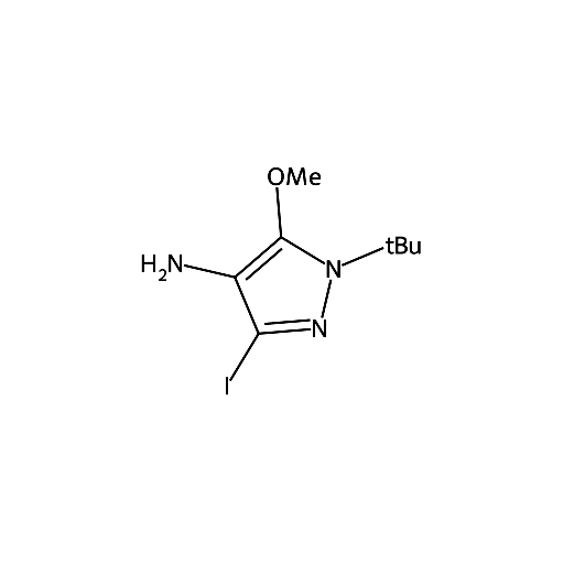 COc1c(N)c(I)nn1C(C)(C)C